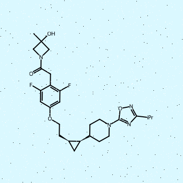 CC(C)c1noc(N2CCC([C@H]3C[C@H]3CCOc3cc(F)c(CC(=O)N4CC(C)(O)C4)c(F)c3)CC2)n1